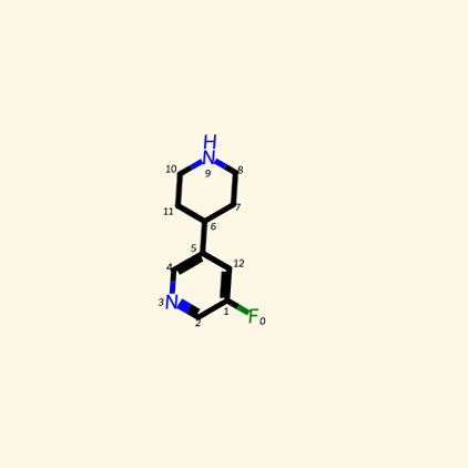 Fc1cncc(C2CCNCC2)c1